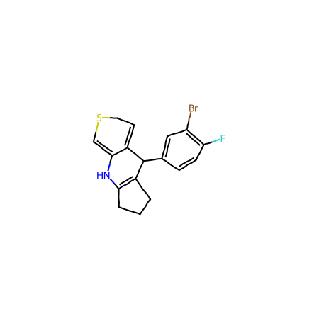 Fc1ccc(C2C3=CCSC=C3NC3=C2CCC3)cc1Br